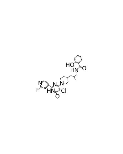 CC(CNC(=O)c1ccccc1O)CC1CCN(c2nc(-c3ccnc(F)c3)[nH]c(=O)c2Cl)CC1